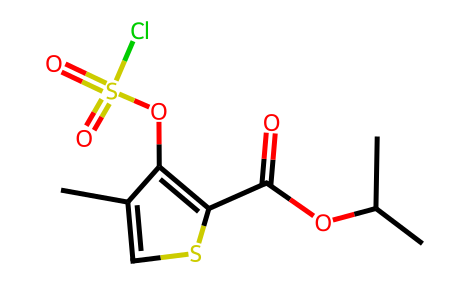 Cc1csc(C(=O)OC(C)C)c1OS(=O)(=O)Cl